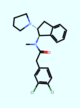 CN(C(=O)Cc1ccc(Cl)c(Cl)c1)[C@@H]1c2ccccc2C[C@H]1N1CCCC1